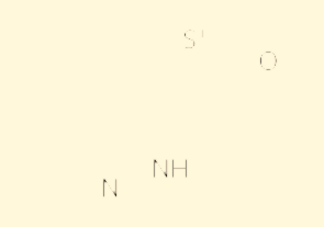 O=[S+]C1CC=NN1